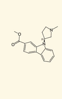 COC(=O)c1ccc2c3ccccc3n([C@H]3CCN(C)C3)c2c1